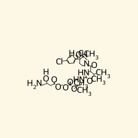 CC(C)[C@@H](NC(=O)NCC(C)(C)OC(=O)OCOC(=O)CC(O)CN)C(=O)N1CC[C@](O)(c2ccc(Cl)cc2)C(C)(C)C1